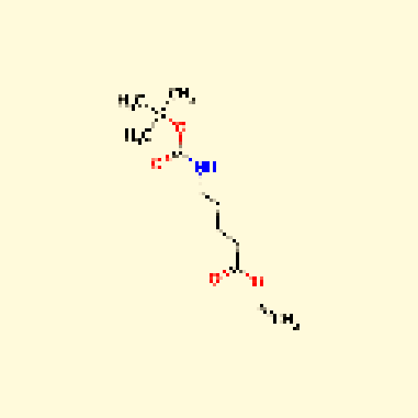 C=COC(=O)CCCCNC(=O)OC(C)(C)C